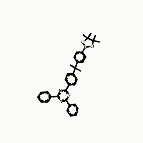 CC(C)(c1ccc(B2OC(C)(C)C(C)(C)O2)cc1)c1ccc(-c2nc(-c3ccccc3)nc(-c3ccccc3)n2)cc1